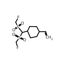 C=CC1CCC(C(S(=O)(=O)CF)S(=O)(=O)CF)CC1